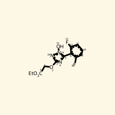 CCOC(=O)COc1nc(-c2c(F)cccc2F)n(O)n1